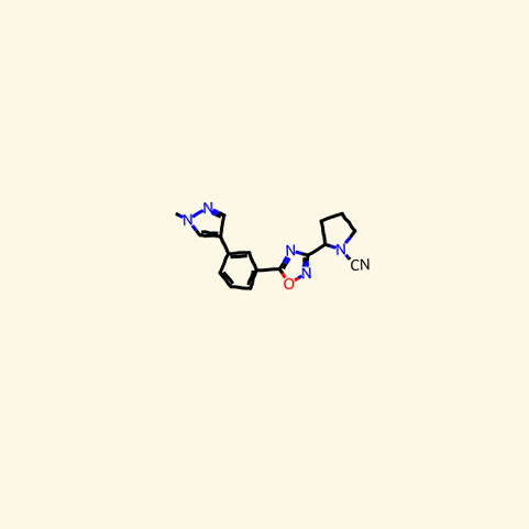 Cn1cc(-c2cccc(-c3nc(C4CCCN4C#N)no3)c2)cn1